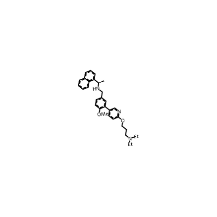 CCN(CC)CCCOc1ccc(-c2cc(CN[C@H](C)c3cccc4ccccc34)ccc2OC)cn1